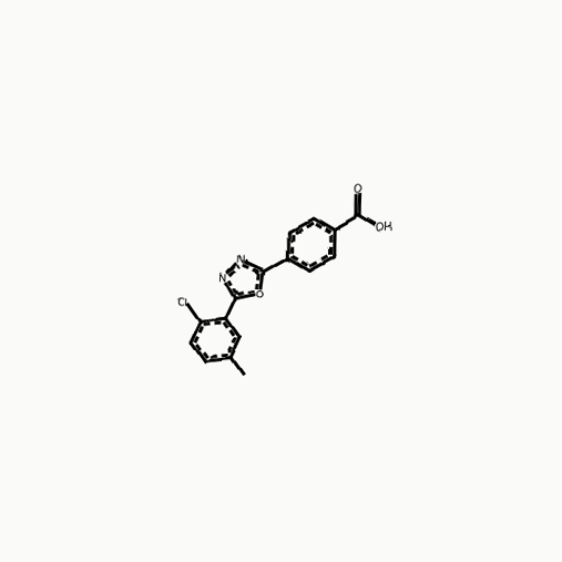 Cc1ccc(Cl)c(-c2nnc(-c3ccc(C(=O)O)cc3)o2)c1